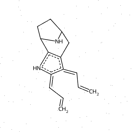 C=C/C=c1/c2c([nH]/c1=C/C=C)C1CCC(C2)N1